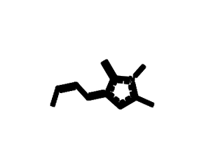 C=c1/c(=C\C=C/C)cc(C)n1C